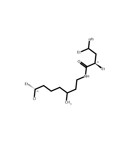 CCCC(CC)C[C@@H](CC)C(=O)NCCC(C)CCC[C@H](Cl)CC